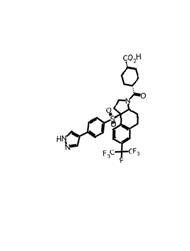 O=C(O)[C@H]1CC[C@H](C(=O)N2CCC3(S(=O)(=O)c4ccc(-c5cn[nH]c5)cc4)c4ccc(C(F)(C(F)(F)F)C(F)(F)F)cc4CCC23)CC1